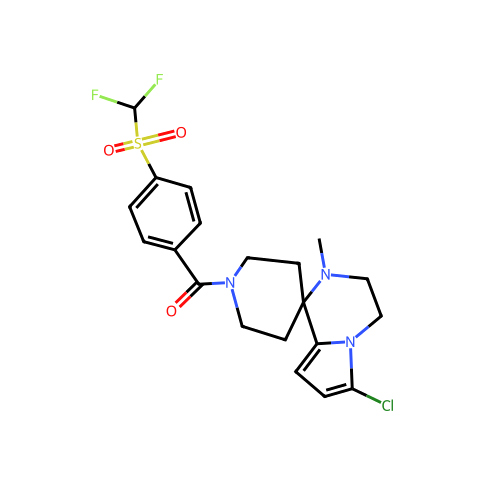 CN1CCn2c(Cl)ccc2C12CCN(C(=O)c1ccc(S(=O)(=O)C(F)F)cc1)CC2